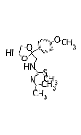 COc1ccc(C2(CN/C(=N/C(C)C)SC)OCCO2)cc1.I